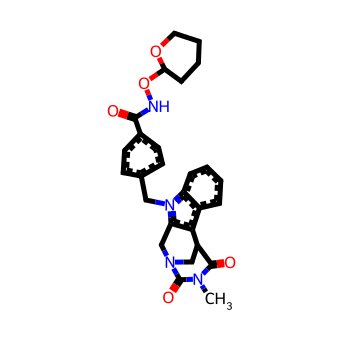 CN1C(=O)C2CN(Cc3c2c2ccccc2n3Cc2ccc(C(=O)NOC3CCCCO3)cc2)C1=O